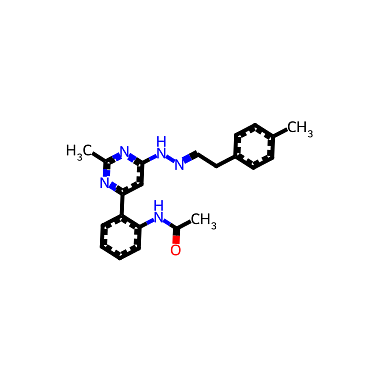 CC(=O)Nc1ccccc1-c1cc(NN=CCc2ccc(C)cc2)nc(C)n1